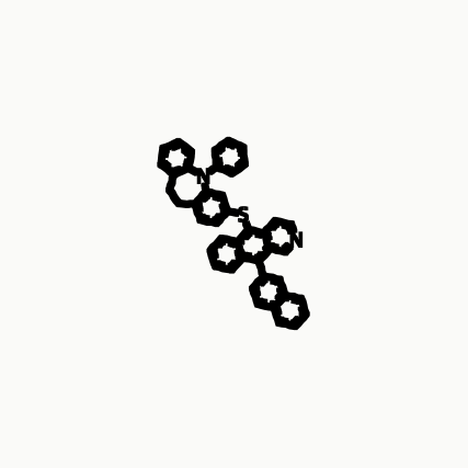 c1ccc(N2c3ccccc3CCc3ccc(Sc4c5ccccc5c(-c5ccc6ccccc6c5)c5cnccc45)cc32)cc1